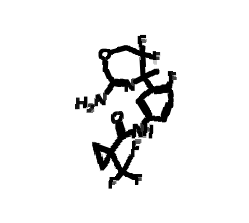 CC1(c2cc(NC(=O)C3(C(F)(F)F)CC3)ccc2F)N=C(N)COCC1(F)F